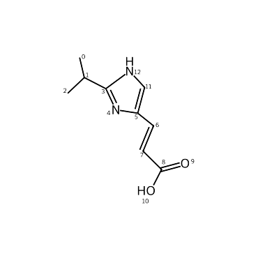 CC(C)c1nc(C=CC(=O)O)c[nH]1